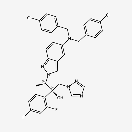 C[C@@H](n1cc2cc(N(Cc3ccc(Cl)cc3)Cc3ccc(Cl)cc3)ccc2n1)[C@](O)(Cn1cncn1)c1ccc(F)cc1F